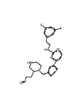 O=CCCC1CNCCN1Cc1cccc(-c2ccnc(NCCc3cc(F)cc(F)c3)n2)c1